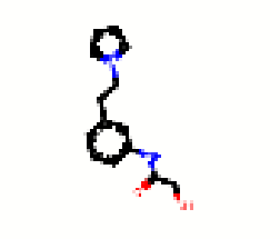 O=C(CO)Nc1cccc(CCn2cccc2)c1